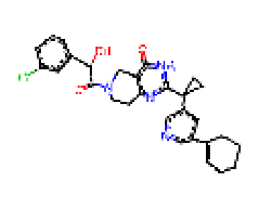 O=C(C(O)c1cccc(Cl)c1)N1CCc2nc(C3(c4cncc(C5=CCCCC5)c4)CC3)[nH]c(=O)c2C1